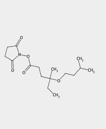 CCC(C)(CCC(=O)ON1C(=O)CCC1=O)OCCC(C)C